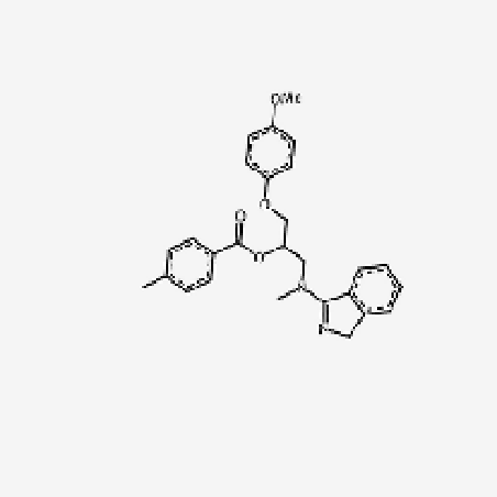 COc1ccc(OCC(CN(C)C2=NCc3ccccc32)OC(=O)c2ccc(C)cc2)cc1